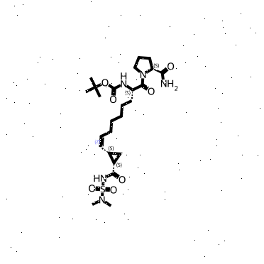 CN(C)S(=O)(=O)NC(=O)[C@H]1C[C@H]1/C=C\CCCCC[C@H](NC(=O)OC(C)(C)C)C(=O)N1CCC[C@H]1C(N)=O